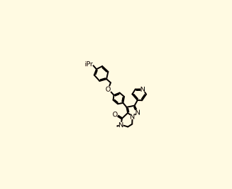 CC(C)c1ccc(COc2ccc(-c3c(-c4ccncc4)nn4c3C(=O)N(C)CC4)cc2)cc1